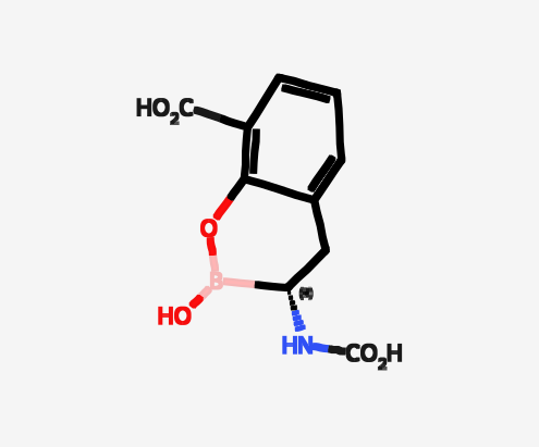 O=C(O)N[C@H]1Cc2cccc(C(=O)O)c2OB1O